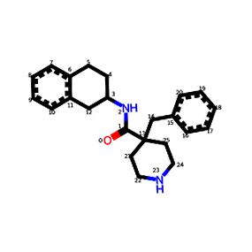 O=C(NC1CCc2ccccc2C1)C1(Cc2ccccc2)CCNCC1